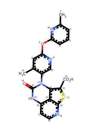 Cc1cccc(Oc2cc(C)c(N3C(=O)Nc4ccnc5sc(C(=O)O)c3c45)cn2)n1